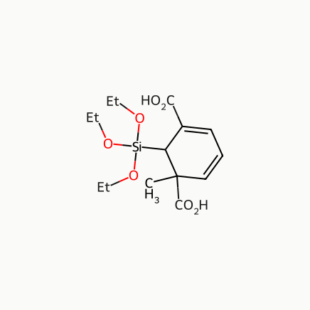 CCO[Si](OCC)(OCC)C1C(C(=O)O)=CC=CC1(C)C(=O)O